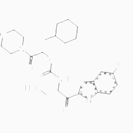 CC[C@H](NC(=O)O[C@@H](CC1CCCCC1)C(=O)N1CCOCC1)C(=O)c1nc2ccc(C)cc2o1